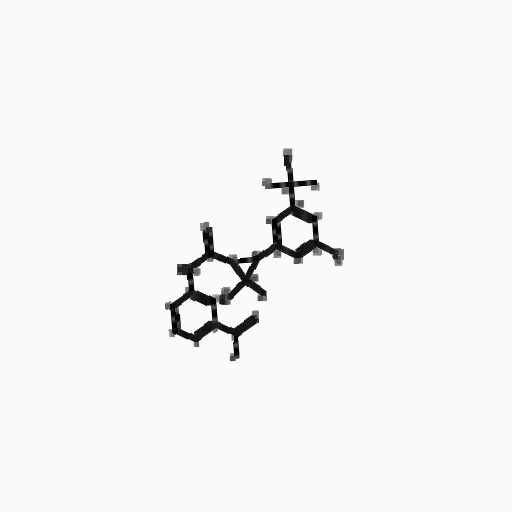 C=C(C)c1cccc(NC(=C)C2C(c3cc(Cl)cc(C(C)(C)F)c3)C2(C)Cl)c1